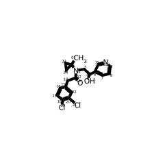 CC1(N(CC(O)c2cccnc2)C(=O)Cc2ccc(Cl)c(Cl)c2)CC1